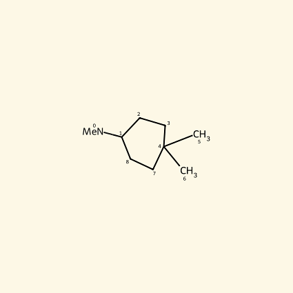 CNC1CCC(C)(C)CC1